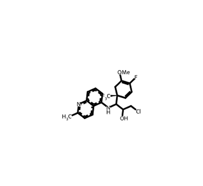 COC1=C(F)C=C[C@@](C(Nc2cccc3nc(C)ccc23)C(O)CCl)(C(F)(F)F)C1